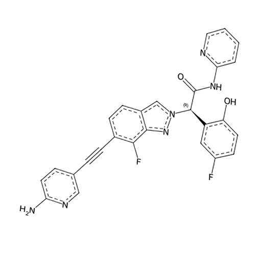 Nc1ccc(C#Cc2ccc3cn([C@@H](C(=O)Nc4ccccn4)c4cc(F)ccc4O)nc3c2F)cn1